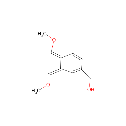 COC=c1ccc(CO)cc1=COC